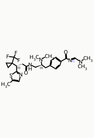 Cc1cnc([C@@H](CC(=O)NC[C@H](Cc2ccc(C(=O)/N=C/N(C)C)cc2)N(C)C)C2(C(F)(F)F)CC2)s1